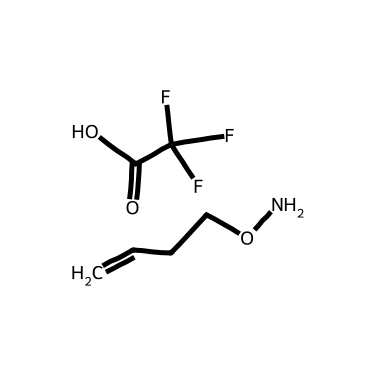 C=CCCON.O=C(O)C(F)(F)F